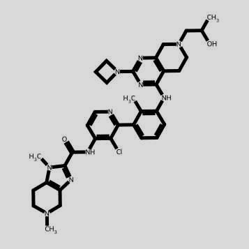 Cc1c(Nc2nc(N3CCC3)nc3c2CCN(CC(C)O)C3)cccc1-c1nccc(NC(=O)c2nc3c(n2C)CCN(C)C3)c1Cl